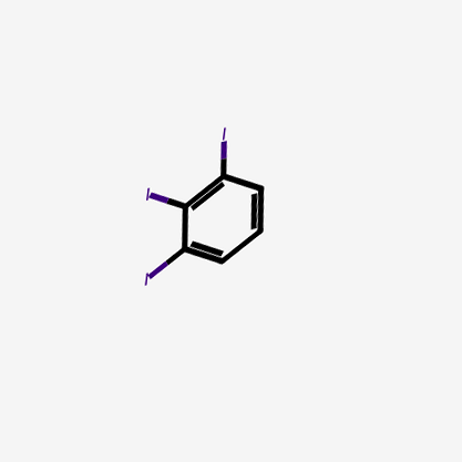 Ic1cccc(I)c1I